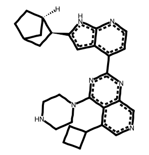 c1cc(-c2nc(N3CCNCC3)c3c(C4CCC4)cncc3n2)c2cc([C@H]3CC4CC[C@@H]3C4)[nH]c2n1